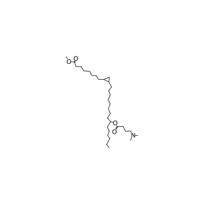 CCCCCCC(CCCCCCCCC1CC1CCCCCCCC(=O)OC)OC(=O)CCCN(C)C